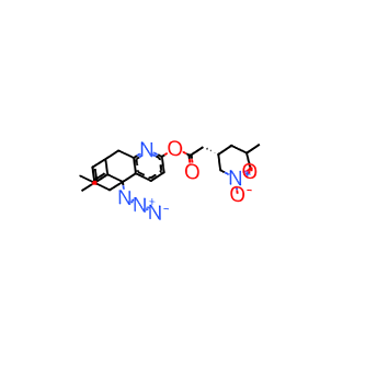 C/C=C1\C2C=C(C)CC1(N=[N+]=[N-])c1ccc(OC(=O)C[C@H](CC(C)C)C[N+](=O)[O-])nc1C2